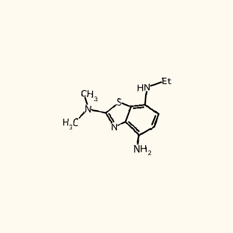 CCNc1ccc(N)c2nc(N(C)C)sc12